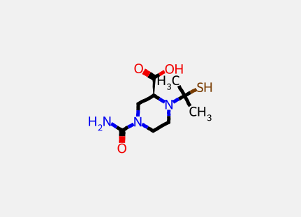 CC(C)(S)N1CCN(C(N)=O)C[C@H]1C(=O)O